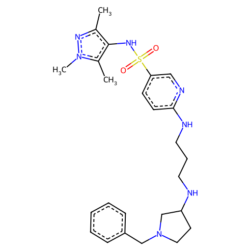 Cc1nn(C)c(C)c1NS(=O)(=O)c1ccc(NCCCNC2CCN(Cc3ccccc3)C2)nc1